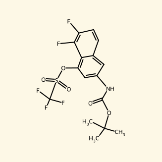 CC(C)(C)OC(=O)Nc1cc(OS(=O)(=O)C(F)(F)F)c2c(F)c(F)ccc2c1